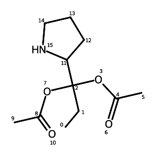 CCC(OC(C)=O)(OC(C)=O)C1CCCN1